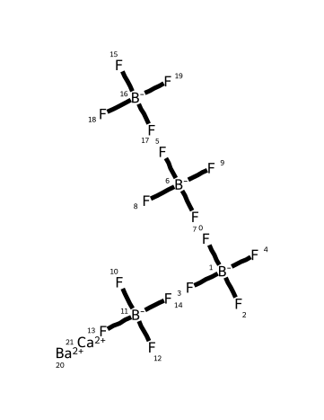 F[B-](F)(F)F.F[B-](F)(F)F.F[B-](F)(F)F.F[B-](F)(F)F.[Ba+2].[Ca+2]